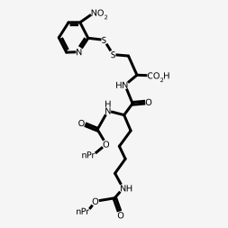 CCCOC(=O)NCCCCC(NC(=O)OCCC)C(=O)NC(CSSc1ncccc1[N+](=O)[O-])C(=O)O